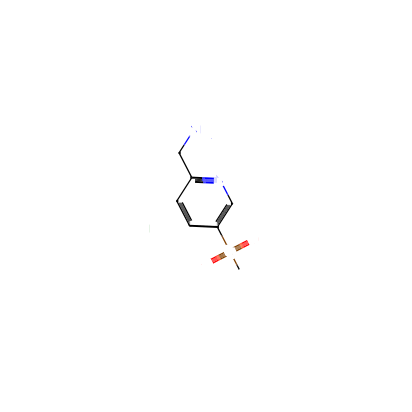 CS(=O)(=O)c1ccc(CN)nc1.Cl